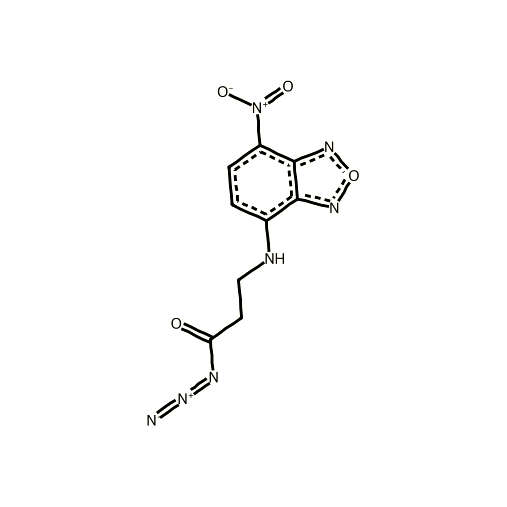 [N-]=[N+]=NC(=O)CCNc1ccc([N+](=O)[O-])c2nonc12